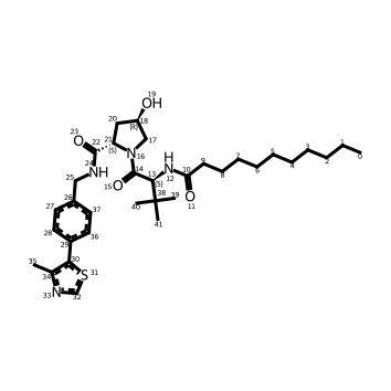 CCCCCCCCCCC(=O)N[C@H](C(=O)N1C[C@H](O)C[C@H]1C(=O)NCc1ccc(-c2scnc2C)cc1)C(C)(C)C